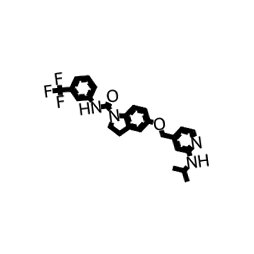 CC(C)Nc1cc(COc2ccc3c(c2)CCN3C(=O)Nc2cccc(C(F)(F)F)c2)ccn1